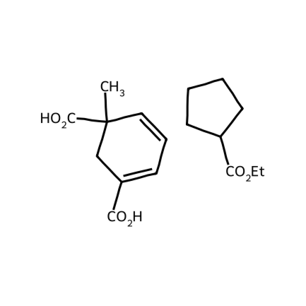 CC1(C(=O)O)C=CC=C(C(=O)O)C1.CCOC(=O)C1CCCC1